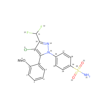 COc1ccccc1-c1c(Cl)c(C(F)F)nn1-c1ccc(S(N)(=O)=O)cc1